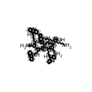 NCCCCC(CC(=O)C(CCCCNc1c2ccccc2nc2ccccc12)NC(=O)C(CCCCN)CC(=O)C(CCCCNc1c2ccccc2nc2ccccc12)NC(=O)C(CCCCN)CC(=O)C(CCCCNc1c2ccccc2nc2ccccc12)NC(=O)C(CCCCN)CC(=O)C(N)CCCCNc1c2ccccc2nc2ccccc12)C(=O)O